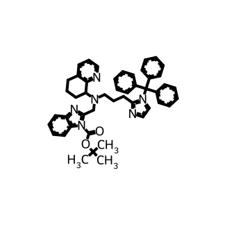 CC(C)(C)OC(=O)n1c(CN(CCCc2nccn2C(c2ccccc2)(c2ccccc2)c2ccccc2)C2CCCc3cccnc32)nc2ccccc21